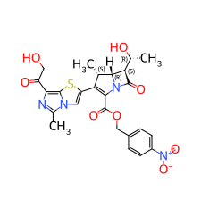 Cc1nc(C(=O)CO)c2sc(C3=C(C(=O)OCc4ccc([N+](=O)[O-])cc4)N4C(=O)[C@H]([C@@H](C)O)[C@H]4[C@H]3C)cn12